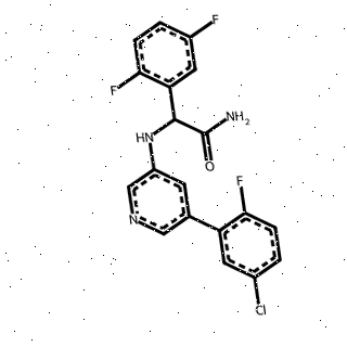 NC(=O)C(Nc1cncc(-c2cc(Cl)ccc2F)c1)c1cc(F)ccc1F